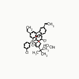 C=Cc1ccc2c(c1)-c1cc(C=C)c[c]([Zr](=[CH2])([C]3=CC(C(C)(C)C)=CC3)([c]3cccc(Cl)c3)[c]3cccc(Cl)c3)c1C2.Cl.Cl